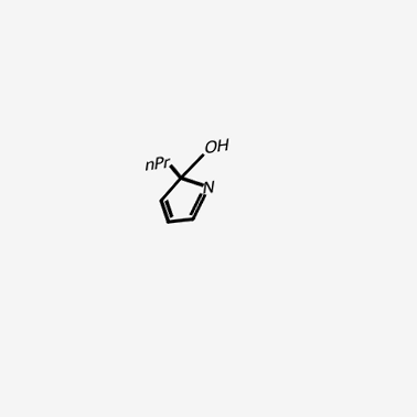 [CH2]CCC1(O)C=CC=N1